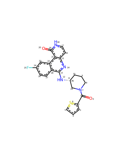 O=C(c1cccs1)N1CCC[C@@H](Nc2nc3cc[nH]c(=O)c3c3cc(F)ccc23)C1